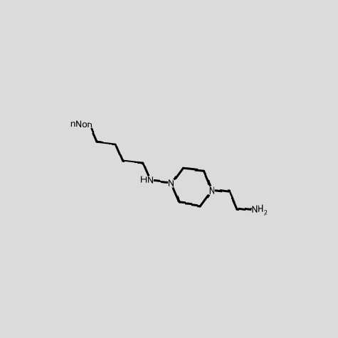 CCCCCCCCCCCCCNN1CCN(CCN)CC1